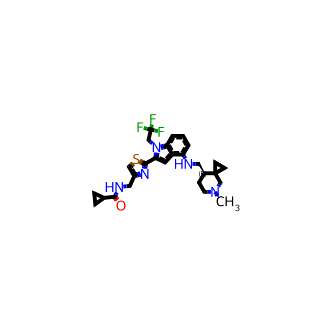 CN1CC[C@@H](CNc2cccc3c2cc(-c2nc(CNC(=O)C4CC4)cs2)n3CC(F)(F)F)C2(CC2)C1